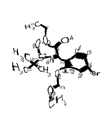 CCOC(=O)/C(=N\[S+]([O-])C(C)(C)C)c1ccc(Br)cc1OCOC